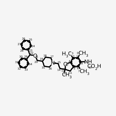 Cc1c(C)c2c(c(C)c1NC(=O)O)CC(C)(CCN1CCC(COC(c3ccccc3)c3ccccc3)CC1)O2